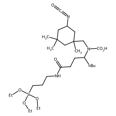 CCCCC(CCC(=O)NCCC[Si](OCC)(OCC)OCC)N(CC1(C)CC(N=C=O)CC(C)(C)C1)C(=O)O